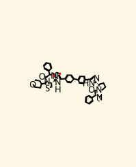 C/C=N/C(C(=O)N1C(C2CCOCC2)SC[C@H]1c1ncc(-c2ccc(-c3ccc(-c4cnc([C@@H]5CCCN5C(=O)[C@@H](c5ccccc5)N(C)C)[nH]4)cc3)cc2)[nH]1)c1ccccc1